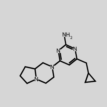 Nc1nc(CC2CC2)cc(N2CCN3CCCC3C2)n1